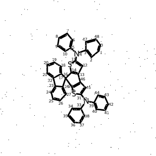 c1ccc(N(c2ccccc2)c2cc3c(s2)C2(c4ccccc4-c4ccccc42)c2sc(N(c4ccccc4)c4ccccc4)cc2-3)cc1